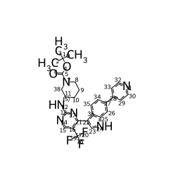 CC(C)(C)OC(=O)N1CCC[C@H](Nc2ncc(C(F)(F)F)c(-c3c[nH]c4cc(-c5ccncc5)ccc34)n2)C1